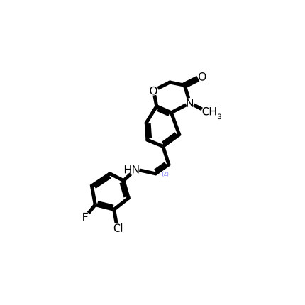 CN1C(=O)COc2ccc(/C=C\Nc3ccc(F)c(Cl)c3)cc21